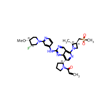 C=CC(=O)N1CCC[C@@H]1c1cnc(N2C[C@H](CS(C)(=O)=O)[C@H]2C)c2cnc(Nc3ccnc(N4CC[C@@H](OC)[C@@H](F)C4)c3)nc12